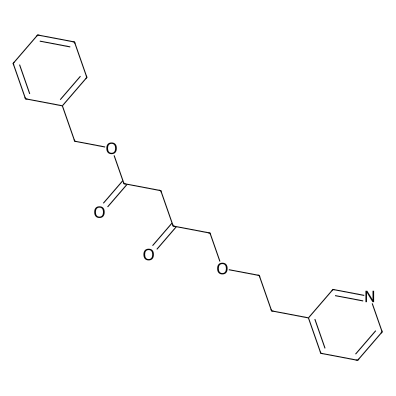 O=C(COCCc1cccnc1)CC(=O)OCc1ccccc1